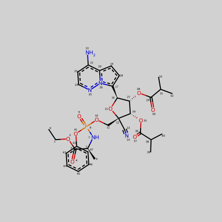 CCOC(=O)[C@H](C)NP(=O)(OC[C@@]1(C#N)O[C@@H](c2ccc3c(N)ccnn23)[C@H](OC(=O)C(C)C)[C@@H]1OC(=O)C(C)C)Oc1ccccc1